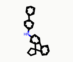 c1ccc(-c2ccc(Nc3ccc4c(c3)C3(CCCC3)c3ccccc3-4)cc2)cc1